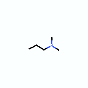 CC[C]N(C)C